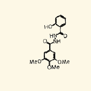 COc1cc(C(=O)NNC(=O)c2ccccc2O)cc(OC)c1OC